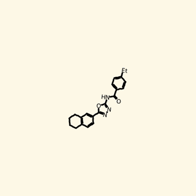 CCc1ccc(C(=O)Nc2nnc(-c3ccc4c(c3)CCCC4)o2)cc1